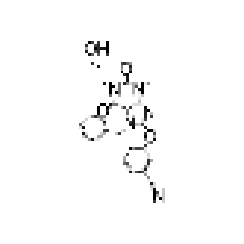 CN1C(=O)N(CCCO)C(=O)C2C1N=C(Oc1cccc(C#N)c1)N2Cc1ccccc1